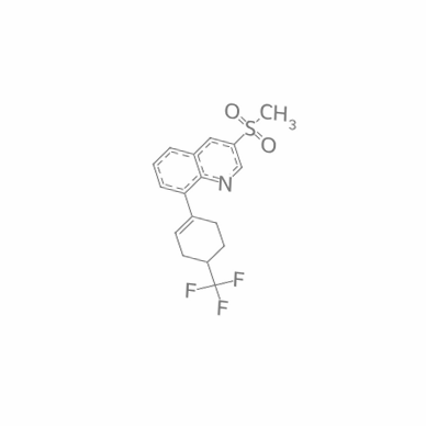 CS(=O)(=O)c1cnc2c(C3=CCC(C(F)(F)F)CC3)cccc2c1